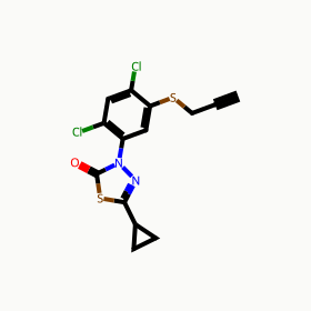 C#CCSc1cc(-n2nc(C3CC3)sc2=O)c(Cl)cc1Cl